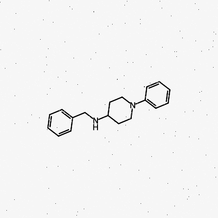 [c]1ccccc1N1CCC(NCc2ccccc2)CC1